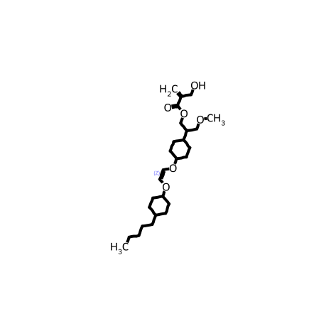 C=C(CO)C(=O)OCC(COC)C1CCC(O/C=C\OC2CCC(CCCCC)CC2)CC1